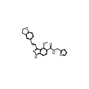 COc1c(C(=O)NCc2ccco2)ccc2[nH]nc(/C=C/c3ccc4c(c3)CCO4)c12